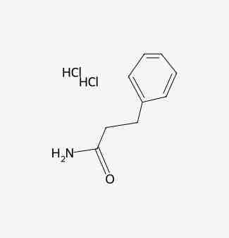 Cl.Cl.NC(=O)CCc1ccccc1